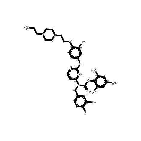 CCCN1CCN(CCOc2ccc(Nc3nccc(N(Cc4ccc(F)c(F)c4)C(=O)Oc4c(C)cc(C)cc4C)n3)cc2F)CC1